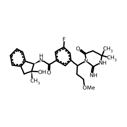 COCCC(c1cc(F)cc(C(=O)N[C@@H]2c3ccccc3C[C@@]2(C)O)c1)N1C(=N)NC(C)(C)CC1=O